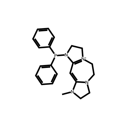 CN1CCN2CC[N+]3=C(C=C12)N(P(c1ccccc1)c1ccccc1)CC3